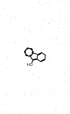 OC1=C2C=CCC=C2c2ccccc21